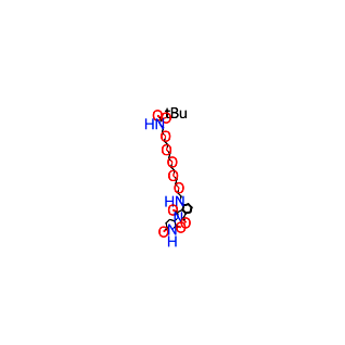 CC(C)(C)OC(=O)NCCOCCOCCOCCOCCOCCNc1cccc2c1C(=O)N(C1CCC(=O)NC1=O)C2=O